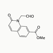 COC(=O)c1ccc2ccc(=O)n(CC=O)c2c1